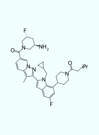 Cc1c(-c2cc3cc(F)cc(C4CCN(C(=O)CC(C)C)CC4)c3n2CC2CC2)nn2cc(C(=O)N3C[C@H](N)C[C@@H](F)C3)ccc12